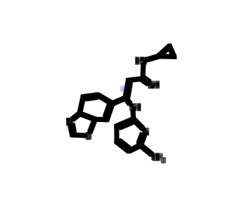 Cc1cccc(N/C(=C\C(=N)NC2CC2)C2=CC3SC=NC3C=C2)n1